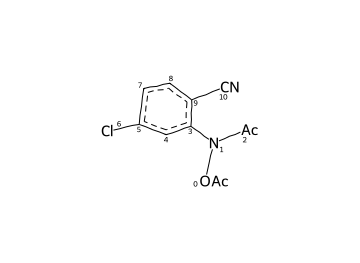 CC(=O)ON(C(C)=O)c1cc(Cl)ccc1C#N